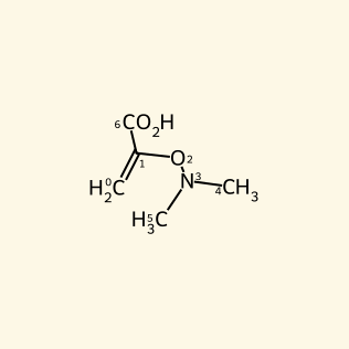 C=C(ON(C)C)C(=O)O